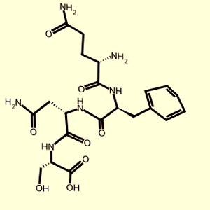 NC(=O)CC[C@H](N)C(=O)N[C@@H](Cc1ccccc1)C(=O)N[C@@H](CC(N)=O)C(=O)N[C@@H](CO)C(=O)O